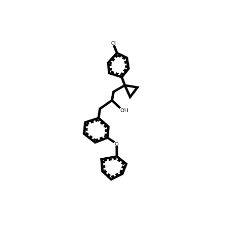 OC(Cc1cccc(Oc2ccccc2)c1)CC1(c2ccc(Cl)cc2)CC1